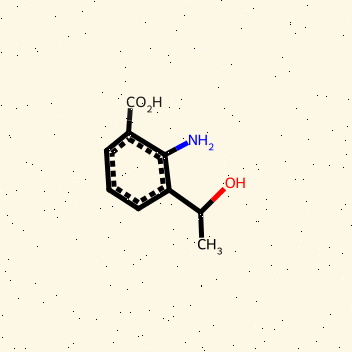 CC(O)c1cccc(C(=O)O)c1N